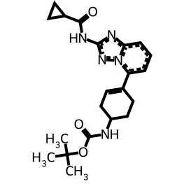 CC(C)(C)OC(=O)NC1CC=C(c2cccc3nc(NC(=O)C4CC4)nn23)CC1